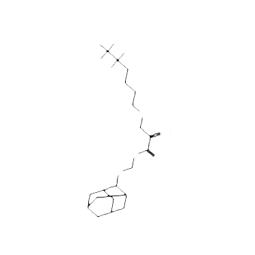 C=C(COCCCCC(F)(F)C(F)(F)S(=O)(=O)O)C(=O)OCOC1C2CC3CC(C2)CC1C3